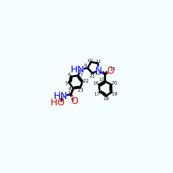 O=C(NO)c1ccc(NC2CCN(C(=O)c3ccccc3)C2)cc1